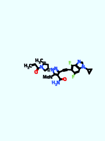 C=CC(=O)N1C[C@@H](n2nc(C#Cc3c(F)cc4c(ncn4C4CC4)c3F)c(C(N)=O)c2NC)C[C@H]1C